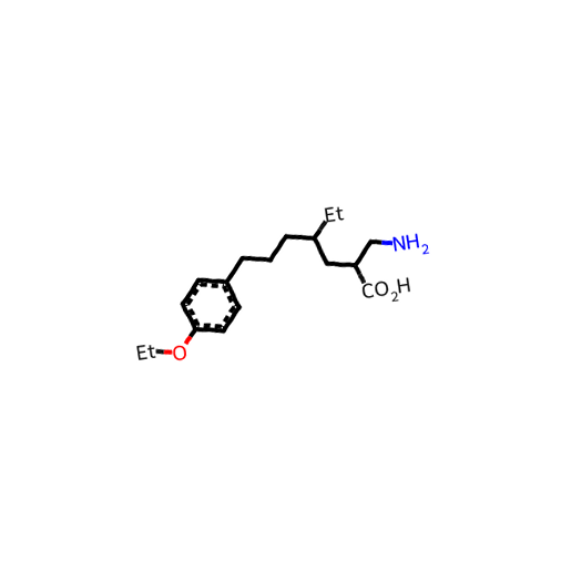 CCOc1ccc(CCCC(CC)CC(CN)C(=O)O)cc1